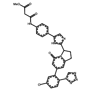 COC(=O)CC(=O)Nc1ccc(-c2cnc(C3CCc4cc(-c5cc(Cl)ccc5-n5cnnn5)cc(=O)n43)[nH]2)cc1